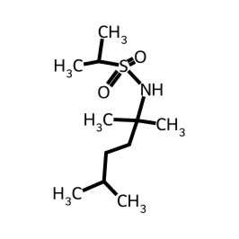 CC(C)CCC(C)(C)NS(=O)(=O)C(C)C